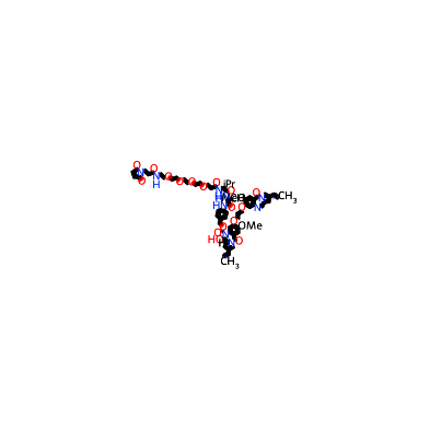 C/C=C/C1=CN2C(=O)c3cc(OC)c(OCCCOc4cc5c(cc4OC)C(=O)N4C=C(/C=C/C)C[C@H]4[C@H](O)N5C(=O)OCc4ccc(NC(=O)[C@H](C)NC(=O)[C@@H](NC(=O)CCOCCOCCOCCOCCNC(=O)CCN5C(=O)C=CC5=O)C(C)C)cc4)cc3N=CC2C1